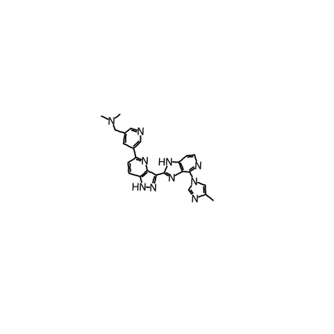 Cc1cn(-c2nccc3[nH]c(-c4n[nH]c5ccc(-c6cncc(CN(C)C)c6)nc45)nc23)cn1